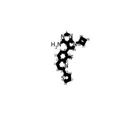 Nc1ncnc2c1c(-c1ccc3ccc(-c4cccs4)nc3c1F)cn2C1=CC=C1